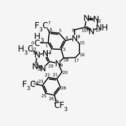 Cc1cc2c(cc1C(F)(F)F)N(Cc1nn[nH]n1)CCCC2N(Cc1cc(C(F)(F)F)cc(C(F)(F)F)c1)c1nnn(C)n1